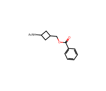 CC(=O)NC1CC(COC(=O)c2ccccc2)C1